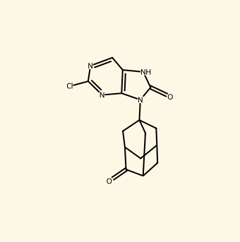 O=C1C2CC3CC1CC(n1c(=O)[nH]c4cnc(Cl)nc41)(C3)C2